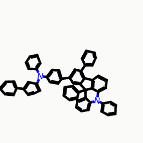 c1ccc(-c2cccc(N(c3ccccc3)c3ccc(-c4cc(-c5ccccc5)c5c(c4)C4(c6ccccc6)c6ccccc6N(c6ccccc6)c6cccc-5c64)cc3)c2)cc1